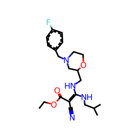 CCOC(=O)C(C#N)=C(NCC(C)C)NCC1CN(Cc2ccc(F)cc2)CCO1